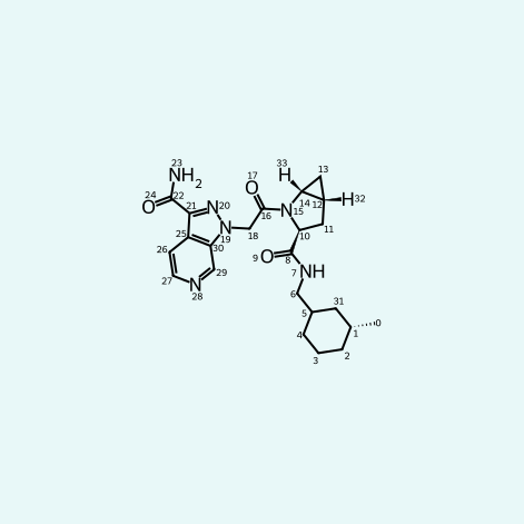 C[C@@H]1CCCC(CNC(=O)[C@@H]2C[C@H]3C[C@H]3N2C(=O)Cn2nc(C(N)=O)c3ccncc32)C1